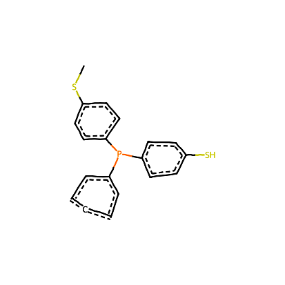 CSc1ccc(P(c2ccccc2)c2ccc(S)cc2)cc1